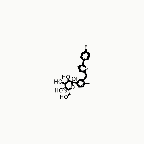 Cc1ccc(C2(O)O[C@H](CO)[C@@H](O)C(O)[C@H]2O)cc1Cc1ccc(-c2ccc(F)cc2)s1